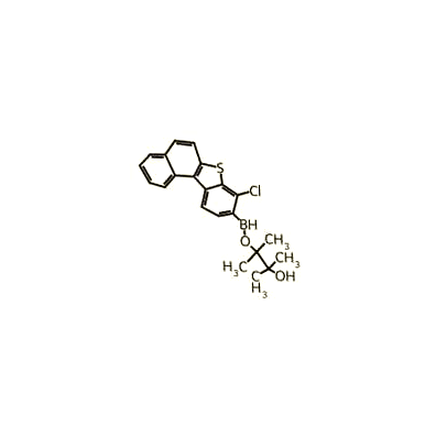 CC(C)(O)C(C)(C)OBc1ccc2c(sc3ccc4ccccc4c32)c1Cl